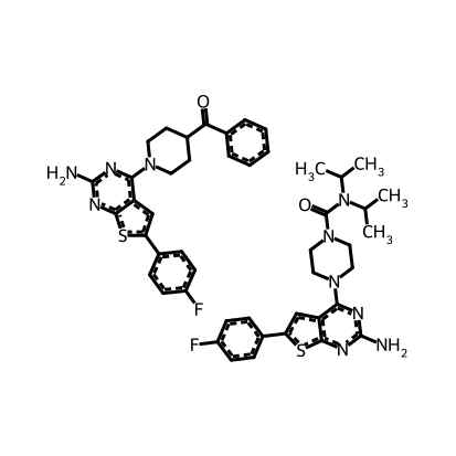 CC(C)N(C(=O)N1CCN(c2nc(N)nc3sc(-c4ccc(F)cc4)cc23)CC1)C(C)C.Nc1nc(N2CCC(C(=O)c3ccccc3)CC2)c2cc(-c3ccc(F)cc3)sc2n1